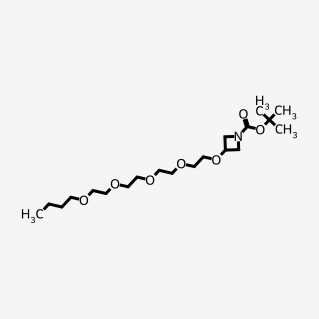 CCCCOCCOCCOCCOCCOC1CN(C(=O)OC(C)(C)C)C1